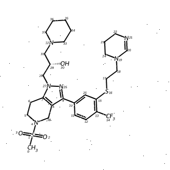 CS(=O)(=O)N1CCc2c(c(-c3ccc(C(F)(F)F)c(SCCN4C=NCCC4)c3)nn2C[C@@H](O)CN2CCCCC2)C1